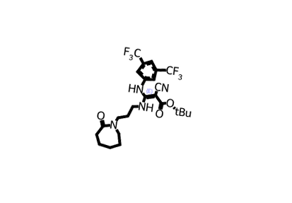 CC(C)(C)OC(=O)/C(C#N)=C(\NCCCN1CCCCCC1=O)Nc1cc(C(F)(F)F)cc(C(F)(F)F)c1